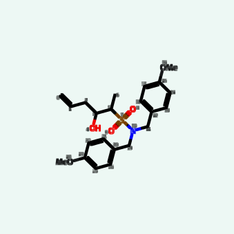 C=CCC(O)C(C)S(=O)(=O)N(Cc1ccc(OC)cc1)Cc1ccc(OC)cc1